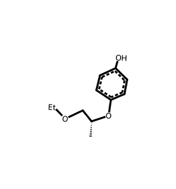 CCOC[C@@H](C)Oc1ccc(O)cc1